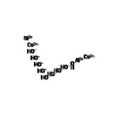 [Al+3].[Co+2].[Co+2].[Ni+2].[OH-].[OH-].[OH-].[OH-].[OH-].[OH-].[OH-].[OH-].[OH-]